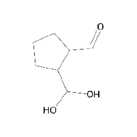 O=CC1CCCC1C(O)O